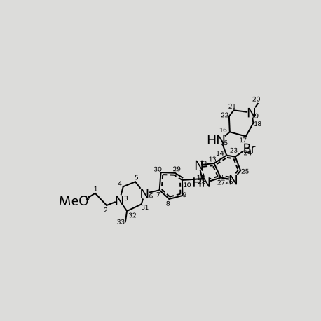 COCCN1CCN(c2ccc(-c3nc4c(NC5CCN(C)CC5)c(Br)cnc4[nH]3)cc2)CC1C